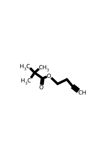 C#CCCOC(=O)C(C)(C)C